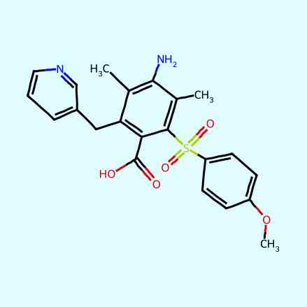 COc1ccc(S(=O)(=O)c2c(C)c(N)c(C)c(Cc3cccnc3)c2C(=O)O)cc1